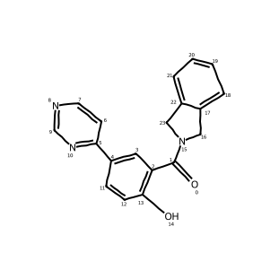 O=C(c1cc(-c2ccncn2)ccc1O)N1Cc2ccccc2C1